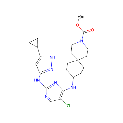 CC(C)(C)OC(=O)N1CCC2(CCC(Nc3nc(Nc4cc(C5CC5)[nH]n4)ncc3Cl)CC2)CC1